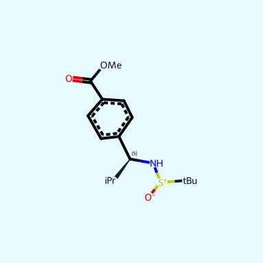 COC(=O)c1ccc([C@@H](N[S+]([O-])C(C)(C)C)C(C)C)cc1